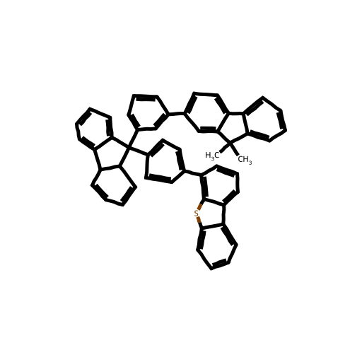 CC1(C)c2ccccc2-c2ccc(-c3cccc(C4(c5ccc(-c6cccc7c6sc6ccccc67)cc5)c5ccccc5C5C=CC=CC54)c3)cc21